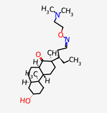 CC[C@H](C/C=N\OCCN(C)C)[C@@]1(C)CC[C@H]2[C@@H](CC[C@@H]3C[C@@H](O)CC[C@@]32C)C1=O